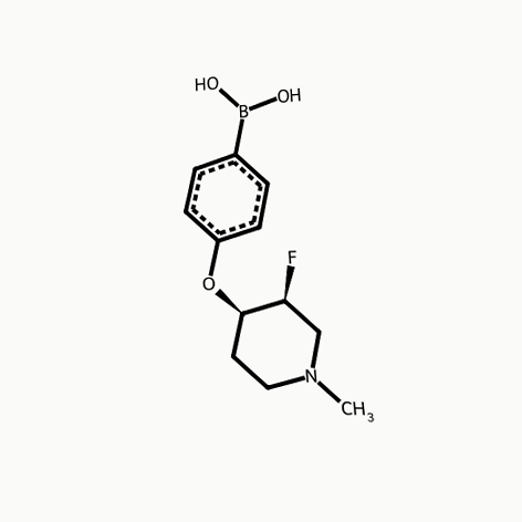 CN1CC[C@@H](Oc2ccc(B(O)O)cc2)[C@@H](F)C1